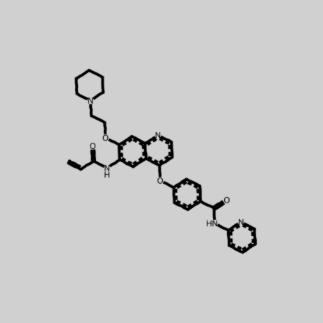 C=CC(=O)Nc1cc2c(Oc3ccc(C(=O)Nc4ccccn4)cc3)ccnc2cc1OCCN1CCCCC1